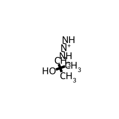 CC(C)(C)O.N=[N+]=N